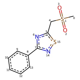 CS(=O)(=O)Cc1nc(-c2ccccc2)ns1